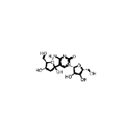 Nc1nc(=O)n([C@@H]2O[C@H](CO)[C@@H](O)[C@H]2O)cc1[C@]1(O)C[C@H](O)[C@@H](CO)O1